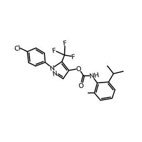 Cc1cccc(C(C)C)c1NC(=O)Oc1cnn(-c2ccc(Cl)cc2)c1C(F)(F)F